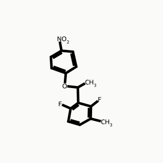 Cc1ccc(F)c(C(C)Oc2ccc([N+](=O)[O-])cc2)c1F